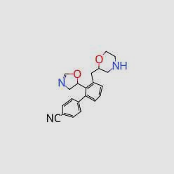 N#Cc1ccc(-c2cccc(CC3CNCCO3)c2C2CN=CO2)cc1